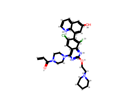 C=CC(=O)N1CCN(c2nc(OCCN3CCCCC3)nc3c(F)c(-c4cc(O)cc5cccnc45)c(Cl)cc23)CC1